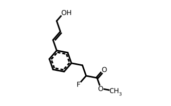 COC(=O)C(F)Cc1cccc(C=CCO)c1